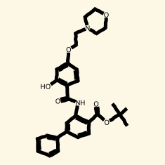 CC(C)(C)OC(=O)c1ccc(-c2ccccc2)cc1NC(=O)c1ccc(OCCN2CCOCC2)cc1O